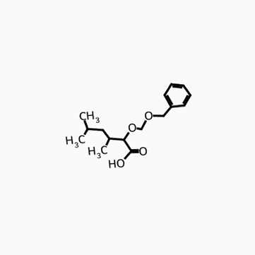 CC(C)CC(C)C(OCOCc1ccccc1)C(=O)O